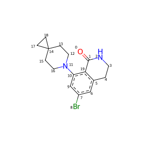 O=C1NCCc2cc(Br)cc(N3CCC4(CC3)CC4)c21